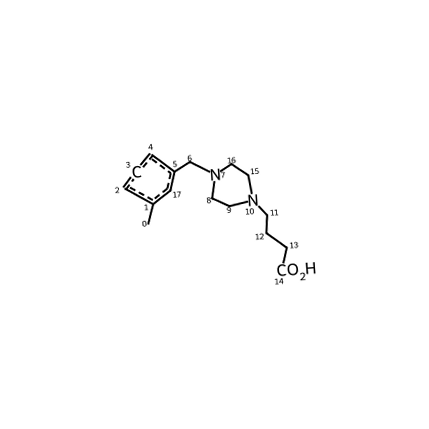 Cc1cccc(CN2CCN(CCCC(=O)O)CC2)c1